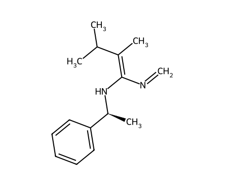 C=N/C(N[C@@H](C)c1ccccc1)=C(\C)C(C)C